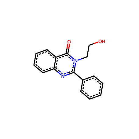 O=c1c2ccccc2nc(-c2ccccc2)n1CCO